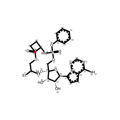 CCC(CC)COC(=O)C1(NP(=O)(OC[C@@]2(C)O[C@@H](c3ccc4c(N)ncnn34)[C@H](O)[C@@H]2O)Oc2ccccc2)CCC1